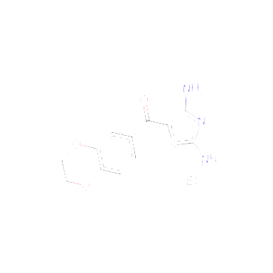 CCNc1nc(N)c(C(=O)c2ccc3c(c2)OCCO3)s1